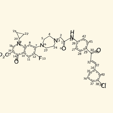 O=C(CN1CCN(c2cc3c(cc2F)c(=O)c(C(=O)O)cn3C2CC2)CC1)Nc1ccc(C(=O)/C=C/c2cccc(Cl)c2)cc1